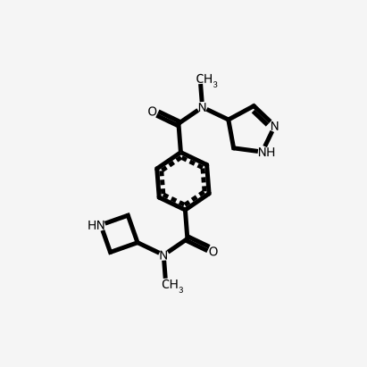 CN(C(=O)c1ccc(C(=O)N(C)C2CNC2)cc1)C1C=NNC1